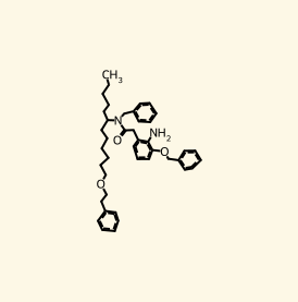 CCCCCC(CCCCCCOCCc1ccccc1)N(Cc1ccccc1)C(=O)Cc1cccc(OCc2ccccc2)c1N